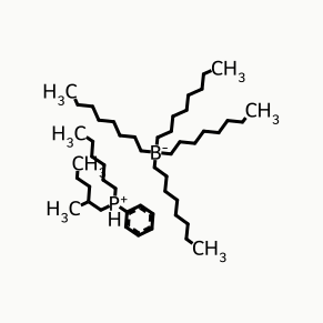 CCCCCCCC[B-](CCCCCCCC)(CCCCCCCC)CCCCCCCC.CCCCCC[PH+](CC(C)CCC)c1ccccc1